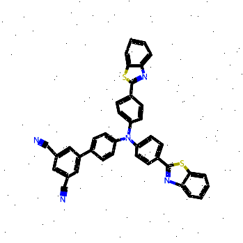 N#Cc1cc(C#N)cc(-c2ccc(N(c3ccc(-c4nc5ccccc5s4)cc3)c3ccc(-c4nc5ccccc5s4)cc3)cc2)c1